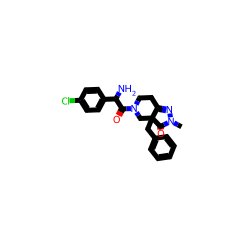 CN1N=C2CCN(C(=O)C(N)c3ccc(Cl)cc3)CC2(Cc2ccccc2)C1=O